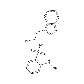 CC(C)C(Cn1ccc2ccccc21)NS(=O)(=O)c1ccccc1NO